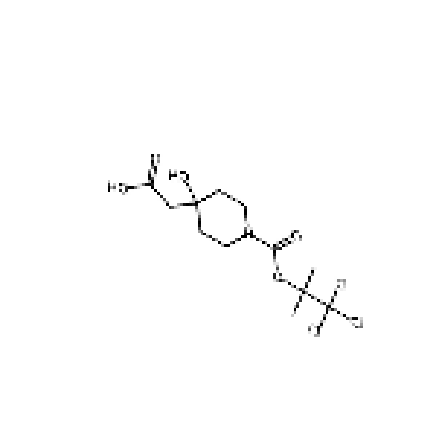 CC(C)(OC(=O)N1CCC(O)(CC(=O)O)CC1)C(Cl)(Cl)Cl